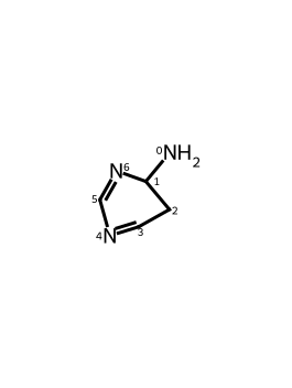 NC1CC=NC=N1